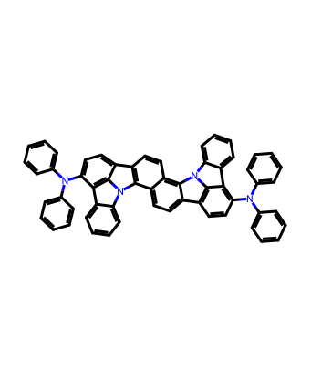 c1ccc(N(c2ccccc2)c2ccc3c4ccc5c(ccc6c7ccc(N(c8ccccc8)c8ccccc8)c8c9ccccc9n(c56)c78)c4n4c5ccccc5c2c34)cc1